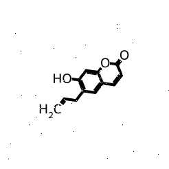 C=CCc1cc2ccc(=O)oc2cc1O